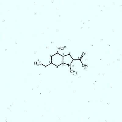 CCC1CCC2CC(C(=O)O)N(C)C2C1.Cl